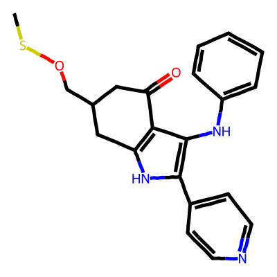 CSOCC1CC(=O)c2c([nH]c(-c3ccncc3)c2Nc2ccccc2)C1